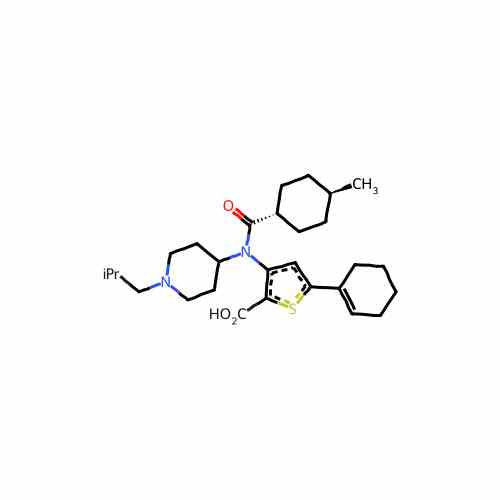 CC(C)CN1CCC(N(c2cc(C3=CCCCC3)sc2C(=O)O)C(=O)[C@H]2CC[C@H](C)CC2)CC1